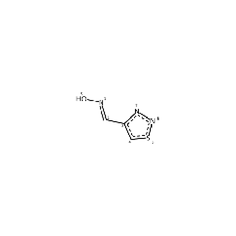 ON=Cc1csnn1